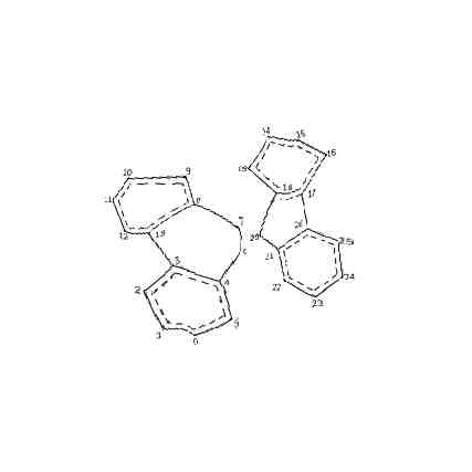 c1ccc2c(c1)CCc1ccccc1-2.c1ccc2c(c1)Cc1ccccc1-2